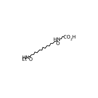 CCNC(=O)CCCCCCCCCCCCCC(=O)NCCC(=O)O